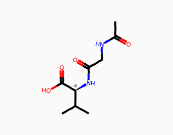 CC(=O)NCC(=O)N[C@H](C(=O)O)C(C)C